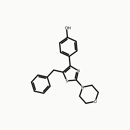 Oc1ccc(-c2nc(N3CCOCC3)sc2Cc2ccccc2)cc1